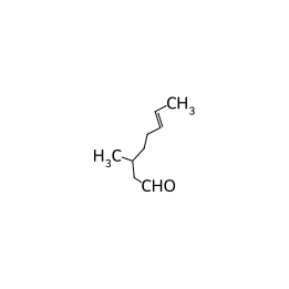 CC=CCCC(C)CC=O